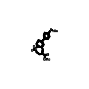 CCCCSc1ccc(-c2ccc3c(c2)C=C(C(=O)OC)CCS3(=O)=O)cc1